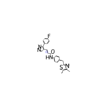 Cc1nc(Cc2ccc(NC(=O)/C=C/c3cnn(C)c3-c3ccc(F)cc3)cc2)sc1C